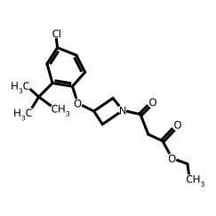 CCOC(=O)CC(=O)N1CC(Oc2ccc(Cl)cc2C(C)(C)C)C1